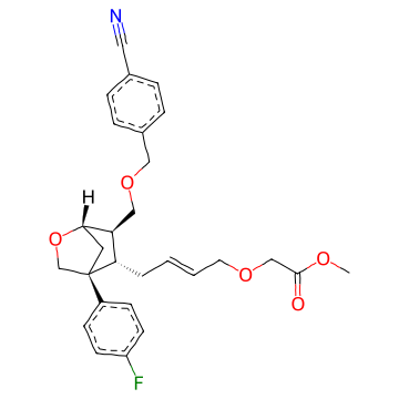 COC(=O)COC/C=C/C[C@H]1[C@H](COCc2ccc(C#N)cc2)[C@@H]2C[C@@]1(c1ccc(F)cc1)CO2